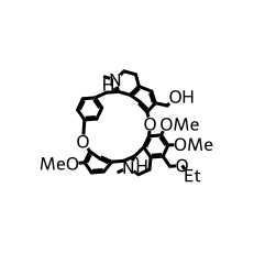 CCOCc1c2c3c(c(OC)c1OC)Oc1cc4c(cc1CO)CCN(C)[C@H]4Cc1ccc(cc1)Oc1cc(ccc1OC)C[C@@H]3N(C)CC2